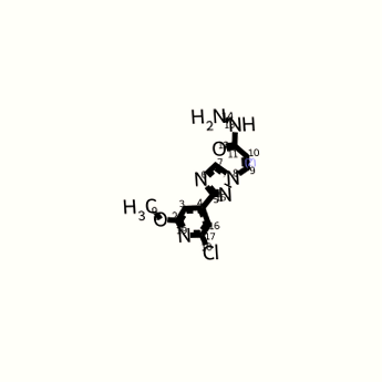 COc1cc(-c2ncn(/C=C\C(=O)NN)n2)cc(Cl)n1